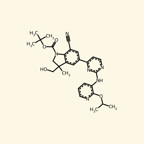 CC(C)Oc1ncccc1Nc1nccc(-c2cc(C#N)c3c(c2)C(C)(CO)CN3C(=O)OC(C)(C)C)n1